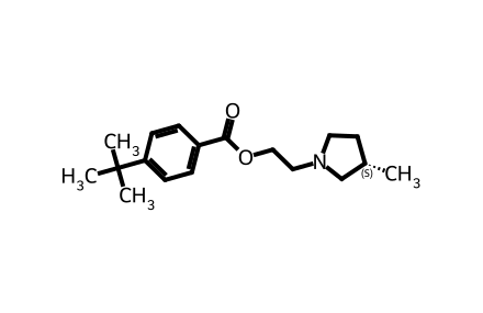 C[C@H]1CCN(CCOC(=O)c2ccc(C(C)(C)C)cc2)C1